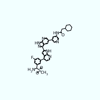 CS(=O)(=O)C(N)c1cc(F)cc(-c2ccnc3[nH]c(-c4n[nH]c5ncc(-c6cncc(NC(=O)CC7CCCCC7)c6)cc45)cc23)c1